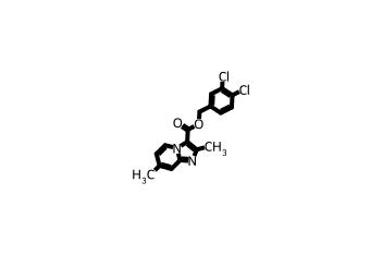 Cc1ccn2c(C(=O)OCc3ccc(Cl)c(Cl)c3)c(C)nc2c1